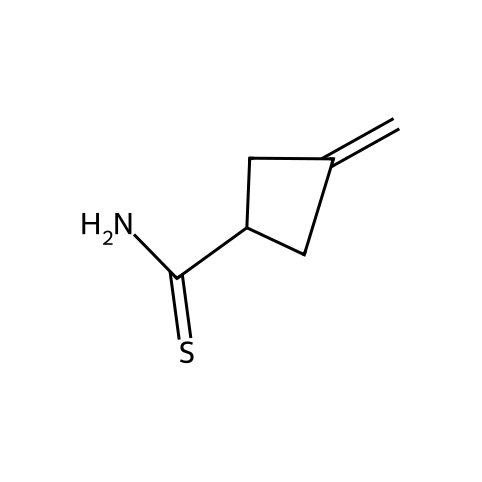 C=C1CC(C(N)=S)C1